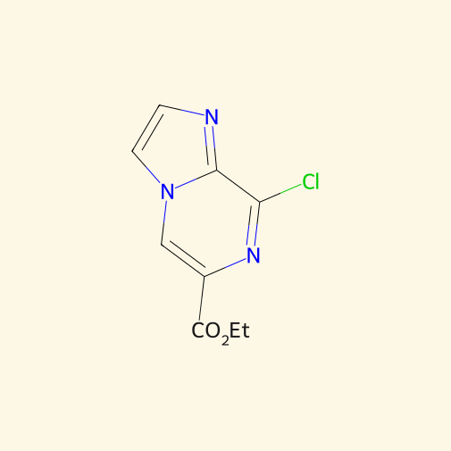 CCOC(=O)c1cn2ccnc2c(Cl)n1